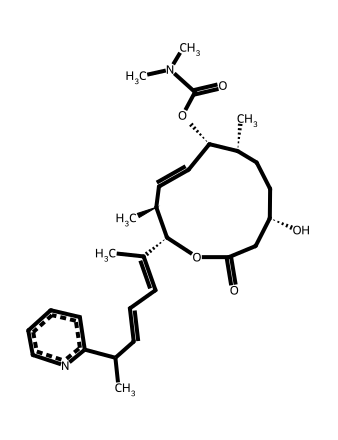 C/C(=C\C=C\C(C)c1ccccn1)[C@H]1OC(=O)C[C@@H](O)CC[C@@H](C)[C@@H](OC(=O)N(C)C)/C=C/[C@@H]1C